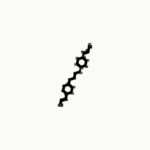 CC/C=C/C1CCC(CCCC[C@H]2CC[C@H](/C=C/CC)CC2)CC1